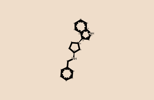 c1ccc(CN[C@H]2CC[C@@H](c3c[nH]c4ccccc34)C2)cc1